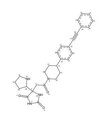 O=C1NC(=O)C(CC(=O)N2CCC(c3ccc(C#Cc4ccccc4)cc3)CC2)(C2CCCN2)N1